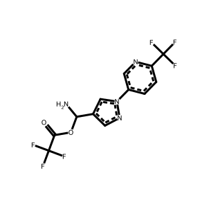 NC(OC(=O)C(F)(F)F)c1cnn(-c2ccc(C(F)(F)F)nc2)c1